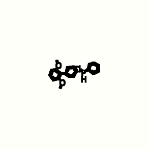 COc1cccc(OC)c1-c1ccccc1.ClPc1ccccc1